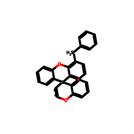 c1ccc([SiH2]c2cccc3c2Oc2ccccc2[Si]32c3ccccc3Oc3ccccc32)cc1